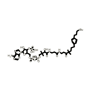 CC(C)(C)CCCc1ccc(CCCC(C)(C)C(=O)CCNC(=O)CCNC(=O)C(O)C(C)(C)COP(=O)(O)OP(=O)(O)OCC2OC(n3cnc4c(N)ncnc43)C(O)C2OP(=O)(O)O)cc1